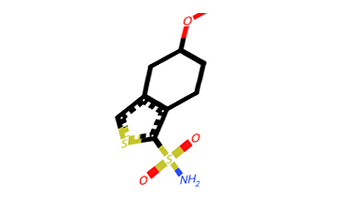 COC1CCc2c(csc2S(N)(=O)=O)C1